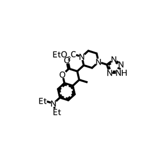 CCOC(=O)N1CCN(c2nn[nH]n2)CC1C1C(=O)Oc2cc(N(CC)CC)ccc2C1C